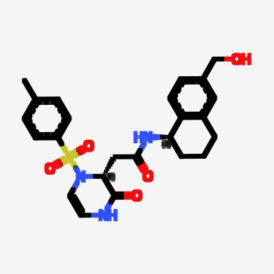 Cc1ccc(S(=O)(=O)N2C=CNC(=O)[C@H]2CC(=O)N[C@@H]2CCCc3cc(CO)ccc32)cc1